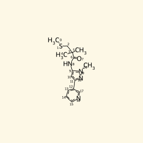 CSCC(C)(C)C(=O)Nc1cc(-c2cccnc2)nn1C